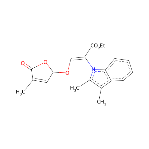 CCOC(=O)/C(=C/OC1C=C(C)C(=O)O1)n1c(C)c(C)c2ccccc21